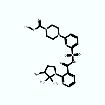 CC1CCN(c2ncccc2C(=O)NS(=O)(=O)c2cccc(N3CCN(C(=O)OC(C)(C)C)CC3)n2)C1(C)C